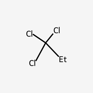 [CH2]CC(Cl)(Cl)Cl